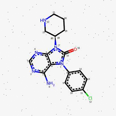 Nc1ncnc2c1n(-c1ccc(Cl)cc1)c(=O)n2[C@@H]1CCCNC1